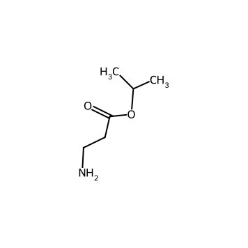 CC(C)OC(=O)CCN